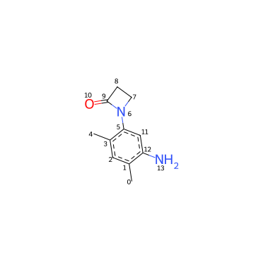 Cc1cc(C)c(N2CCC2=O)cc1N